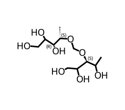 CC(O)[C@H](OCO[C@@H](C)[C@H](O)C(O)CO)C(O)CO